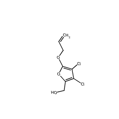 C=CCOc1oc(CO)c(Cl)c1Cl